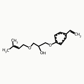 C=Cc1ccc(OCC(O)COCC=C(C)C)cc1